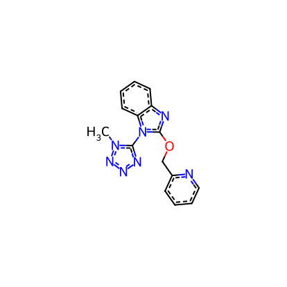 Cn1nnnc1-n1c(OCc2ccccn2)nc2ccccc21